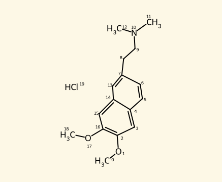 COc1cc2ccc(CCN(C)C)cc2cc1OC.Cl